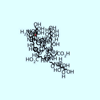 Nc1nc2ncc(CNc3ccc(C(=O)N[C@H](CCC(=O)N[C@@H](CCC(=O)NC[C@H](O)[C@@H](O)[C@H](O)[C@H](O)CO)C(=O)N[C@H](CCC(=O)O)C(=O)N[C@@H](CCC(O)NC[C@H](O)[C@@H](O)[C@H](O)[C@H](O)CO)C(=O)N[C@H](CCC(=O)O)C(=O)N[C@@H](CCC(=O)NC[C@H](O)[C@@H](O)[C@H](O)[C@H](O)CO)C(=O)N[C@H](C[SiH3])C(=O)O)C(=O)O)cc3)nc2c(=O)[nH]1